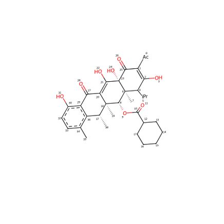 CC(=O)C1=C(O)C(C(C)C)[C@@]2(C)[C@H](OC(=O)C3CCCCC3)[C@]3(C)C(=C(O)[C@@]2(O)C1=O)C(=O)c1c(O)ccc(C)c1[C@H]3C